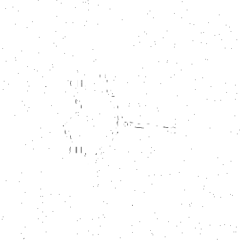 C=CC=C.O=[C]=[Co](=[C]=O)=[C]=O